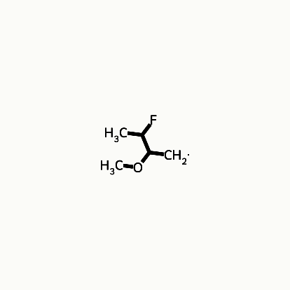 [CH2]C(OC)C(C)F